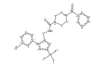 O=C(NCc1cc(C(F)(F)F)nn1-c1cccc(Cl)c1)N1CCN(C(=O)c2ccccc2)CC1